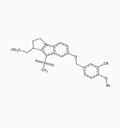 CC(C)Oc1ccc(COc2ccc3c(c2)c(S(C)(=O)=O)c2n3CCC2CC(=O)O)cc1C#N